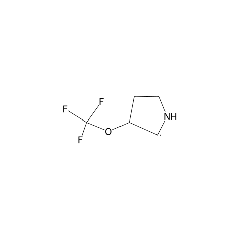 FC(F)(F)OC1[CH]NCC1